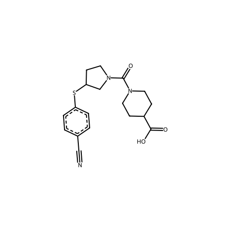 N#Cc1ccc(SC2CCN(C(=O)N3CCC(C(=O)O)CC3)C2)cc1